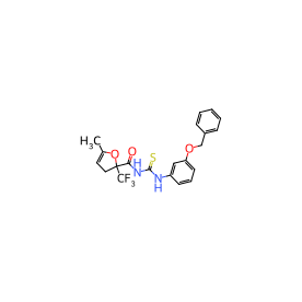 CC1=CCC(C(=O)NC(=S)Nc2cccc(OCc3ccccc3)c2)(C(F)(F)F)O1